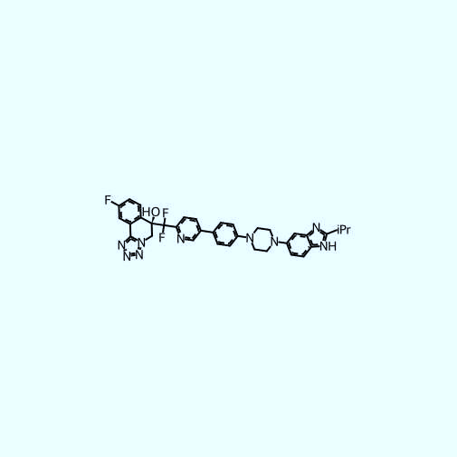 CC(C)c1nc2cc(N3CCN(c4ccc(-c5ccc(C(F)(F)[C@]6(O)Cn7nnnc7-c7cc(F)ccc76)nc5)cc4)CC3)ccc2[nH]1